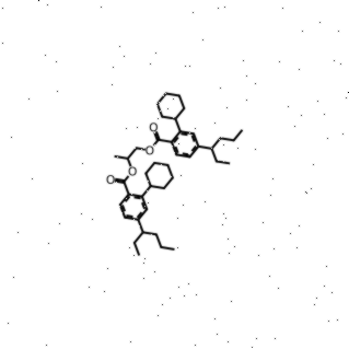 CCCC(CC)c1ccc(C(=O)OCC(C)OC(=O)c2ccc(C(CC)CCC)cc2C2CCCCC2)c(C2CCCCC2)c1